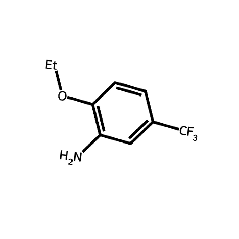 CCOc1ccc(C(F)(F)F)cc1N